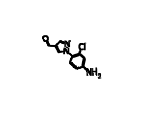 Nc1ccc(-n2cc(C=O)cn2)c(Cl)c1